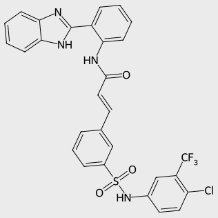 O=C(/C=C/c1cccc(S(=O)(=O)Nc2ccc(Cl)c(C(F)(F)F)c2)c1)Nc1ccccc1-c1nc2ccccc2[nH]1